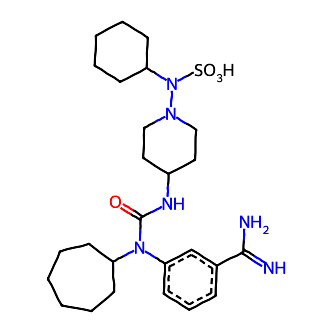 N=C(N)c1cccc(N(C(=O)NC2CCN(N(C3CCCCC3)S(=O)(=O)O)CC2)C2CCCCCC2)c1